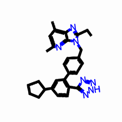 CCc1nc2c(C)cc(C)nc2n1Cc1ccc(-c2cc(C3CCCC3)ccc2-c2nn[nH]n2)cc1